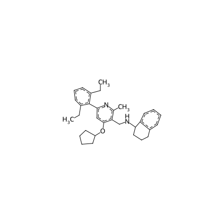 CCc1cccc(CC)c1-c1cc(OC2CCCC2)c(CNC2CCCc3ccccc32)c(C)n1